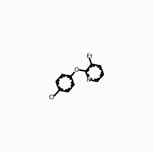 CCc1cccnc1Oc1ccc(Cl)cc1